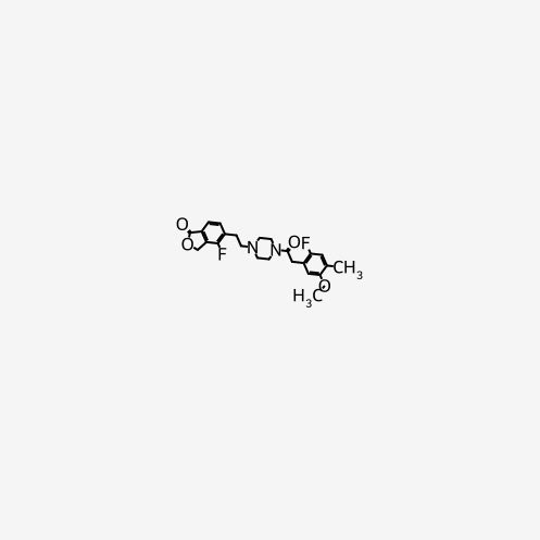 COc1cc(CC(=O)N2CCN(CCc3ccc4c(c3F)COC4=O)CC2)c(F)cc1C